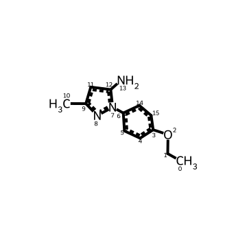 CCOc1ccc(-n2nc(C)cc2N)cc1